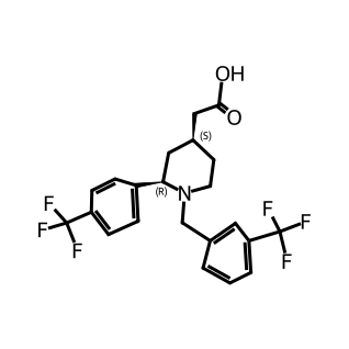 O=C(O)C[C@H]1CCN(Cc2cccc(C(F)(F)F)c2)[C@@H](c2ccc(C(F)(F)F)cc2)C1